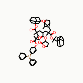 CC1C2CCC(C2)C1CC(C)(CC(CC(C)(CC(C)(C)C(=O)Oc1ccc([S+](c2ccccc2)c2ccccc2)cc1)C(=O)OC12CC3CC(CC(O)(C3)C1)C2)C(=O)OC1CCOC1=O)C(=O)OC(C)(C)C12CC3CC(CC(C3)C1)C2